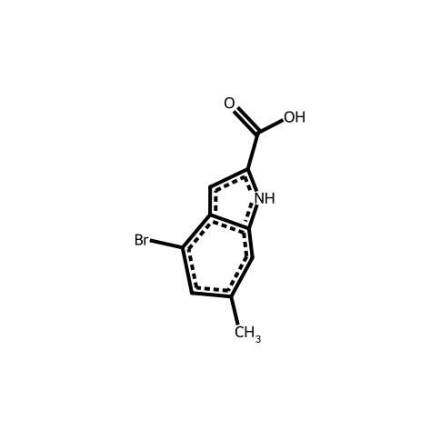 Cc1cc(Br)c2cc(C(=O)O)[nH]c2c1